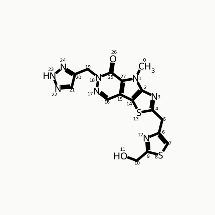 Cn1c2nc(Cc3csc(CO)n3)sc2c2cnn(Cc3cn[nH]n3)c(=O)c21